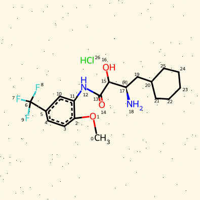 COc1ccc(C(F)(F)F)cc1NC(=O)C(O)[C@H](N)CC1CCCCC1.Cl